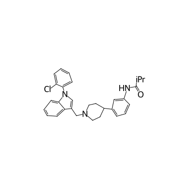 CC(C)C(=O)Nc1cccc(C2CCN(Cc3cn(-c4ccccc4Cl)c4ccccc34)CC2)c1